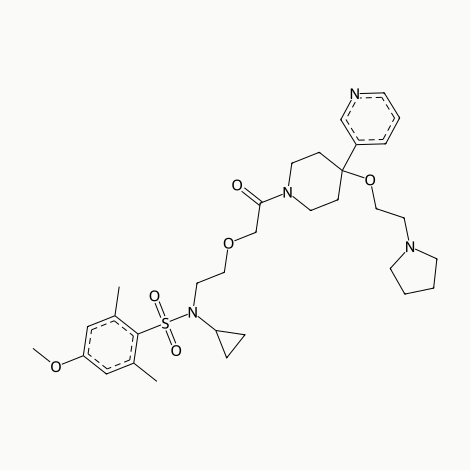 COc1cc(C)c(S(=O)(=O)N(CCOCC(=O)N2CCC(OCCN3CCCC3)(c3cccnc3)CC2)C2CC2)c(C)c1